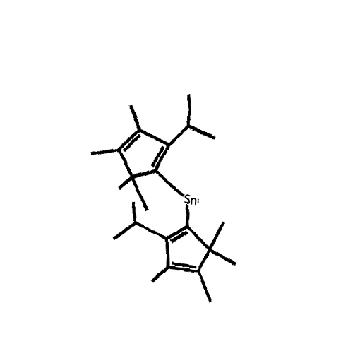 CC1=C(C)C(C)(C)[C]([Sn][C]2=C(C(C)C)C(C)=C(C)C2(C)C)=C1C(C)C